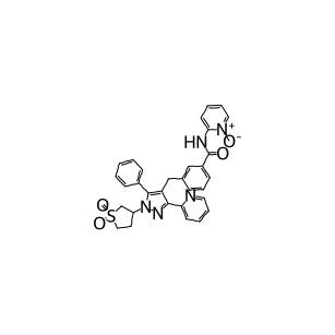 O=C(Nc1cccc[n+]1[O-])c1cccc(Cc2c(-c3ccccn3)nn(C3CCS(=O)(=O)C3)c2-c2ccccc2)c1